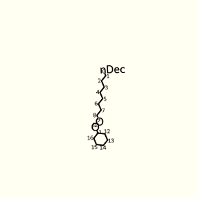 CCCCCCCCCCCCCCCCCCOOC1CCCCC1